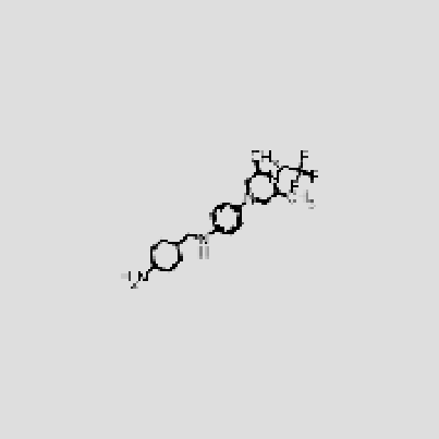 CC1CN(c2ccc(NCC3CCC(N)CC3)cc2)CC(C)N1CC(F)(F)F